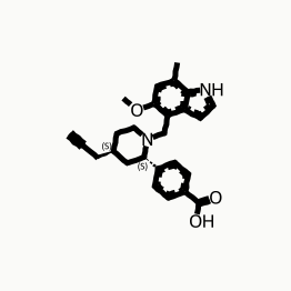 C#CC[C@H]1CCN(Cc2c(OC)cc(C)c3[nH]ccc23)[C@H](c2ccc(C(=O)O)cc2)C1